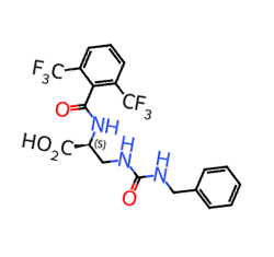 O=C(NCc1ccccc1)NC[C@H](NC(=O)c1c(C(F)(F)F)cccc1C(F)(F)F)C(=O)O